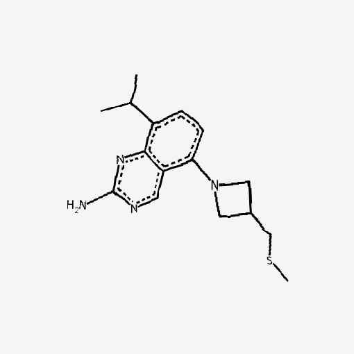 CSCC1CN(c2ccc(C(C)C)c3nc(N)ncc23)C1